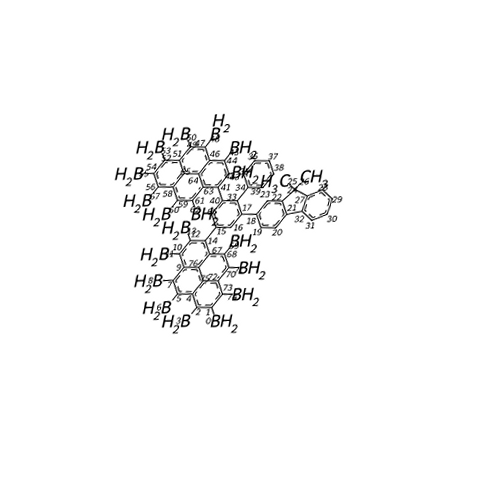 Bc1c(B)c2c(B)c(B)c3c(B)c(B)c(-c4cc(-c5ccc6c(c5)C(C)(C)c5ccccc5-6)c(-c5ccccc5)c(-c5c(B)c(B)c6c(B)c(B)c7c(B)c(B)c(B)c8c(B)c(B)c5c6c78)c4)c4c(B)c(B)c(c1B)c2c34